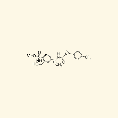 COS(=N)(=O)c1ccc([C@@H](C)NC(=O)C2CC2c2ccc(C(F)(F)F)cc2)cc1CO